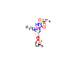 C=CC(=O)OCC(CNC(=O)NS(C)(=O)=O)OC(=O)C=C